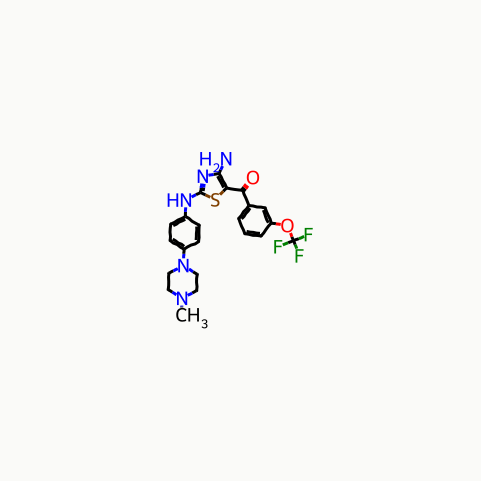 CN1CCN(c2ccc(Nc3nc(N)c(C(=O)c4cccc(OC(F)(F)F)c4)s3)cc2)CC1